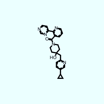 O=C(c1cccnc1-c1ccncn1)N1CCC(O)(Cc2ccc(C3CC3)cn2)CC1